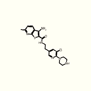 Cc1ccc2c(N)c(C(=O)NCCc3cnc(N4CCNCC4)c(Cl)c3)sc2n1